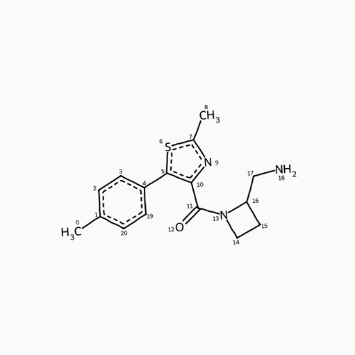 Cc1ccc(-c2sc(C)nc2C(=O)N2CCC2CN)cc1